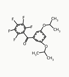 CC(C)Oc1cc(OC(C)C)cc(C(=O)c2c(F)c(F)c(F)c(F)c2F)c1